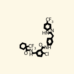 O=C(Nc1ccc(Cc2nc3cc(C(F)(F)F)ccc3[nH]2)cc1)c1cc(CNC(=O)C2(C(F)(F)F)CCCCC2)ccc1Cl